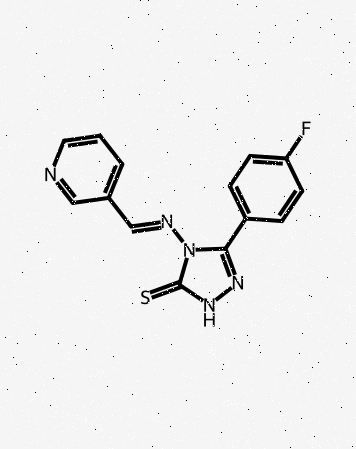 Fc1ccc(-c2n[nH]c(=S)n2/N=C/c2cccnc2)cc1